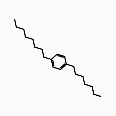 CCCCCCCCc1ccc(CCCCCCC)cc1